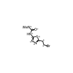 CNC(=O)Nc1nnc(CCBr)s1